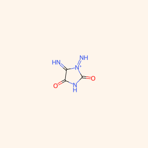 N=C1C(=O)NC(=O)[N+]1=N